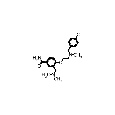 CN(C)Cc1cc(C(N)=O)ccc1OCCN(C)Cc1ccc(Cl)cc1